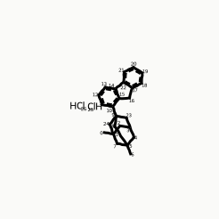 CC12CC3CC(C)(C1)CC(c1cccc4c1Cc1ccccc1-4)(C3)C2.Cl.Cl